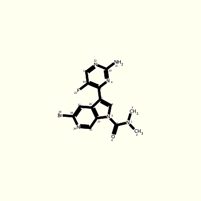 CN(C)C(=O)n1cc(-c2nc(N)ncc2F)c2cc(Br)ncc21